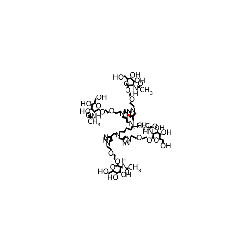 CC[C@@H](CCCCN(Cc1cn(CCOCCOC2OC(CO)C(O)C(O)C2NC(C)=O)nn1)Cc1cn(CCOCCOC2OC(CO)C(O)C(O)C2NC(C)=O)nn1)N(Cc1cn(CCOCCOC2OC(CO)C(O)C(O)C2NC(C)=O)nn1)Cc1cn(CCOCCOC2OC(CO)C(O)C(O)C2NC(C)=O)nn1